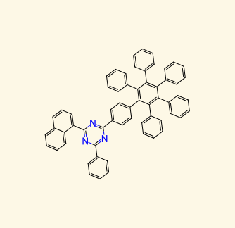 c1ccc(-c2nc(-c3ccc(-c4c(-c5ccccc5)c(-c5ccccc5)c(-c5ccccc5)c(-c5ccccc5)c4-c4ccccc4)cc3)nc(-c3cccc4ccccc34)n2)cc1